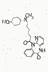 CN(CCCCCC(=O)N1c2ccccc2C(=O)Nc2cccnc21)[C@H]1CC[C@H](O)CC1